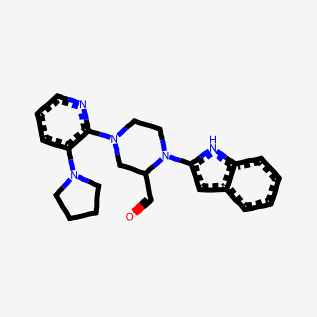 O=CC1CN(c2ncccc2N2CCCC2)CCN1c1cc2ccccc2[nH]1